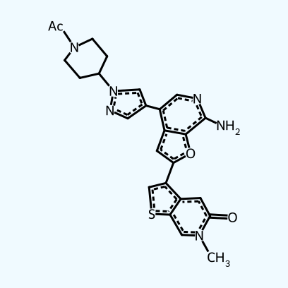 CC(=O)N1CCC(n2cc(-c3cnc(N)c4oc(-c5csc6cn(C)c(=O)cc56)cc34)cn2)CC1